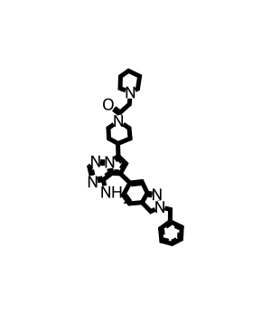 Nc1ncnn2c(C3CCN(C(=O)CN4CCCCC4)CC3)cc(C3=CC4=NN(Cc5ccccc5)CC4C=C3)c12